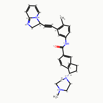 Cc1ccc(NC(=O)c2ccc3c(c2)CC[C@@H]3N2CCN(C)CC2)cc1C#CC1CN=C2C=CC=CN21